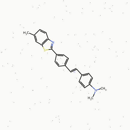 Cc1ccc2nc(-c3ccc(/C=C/c4ccc(N(C)C)cc4)cc3)sc2c1